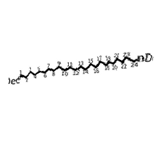 CCCCCCCCCCCCCCCCCCCCC[CH]CCCCCCCCCCCCCCCCCCCCCC